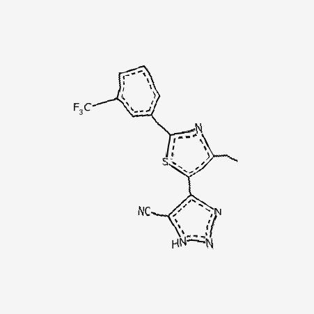 Cc1nc(-c2cccc(C(F)(F)F)c2)sc1-c1nn[nH]c1C#N